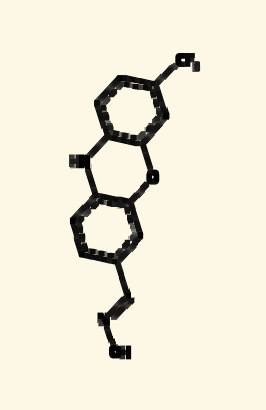 ON=Cc1ccc2c(c1)Oc1cc(C(F)(F)F)ccc1N2